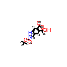 CC(C)(C)OC(=O)NCc1ccc2c(c1)C(C)(O)OC2=O